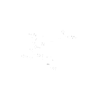 COC(=O)CCCCCN(C(=O)[C@H](Cc1c(C)cc(O)cc1C)NC(=O)OC(C)(C)C)[C@H](C)C(N)=O